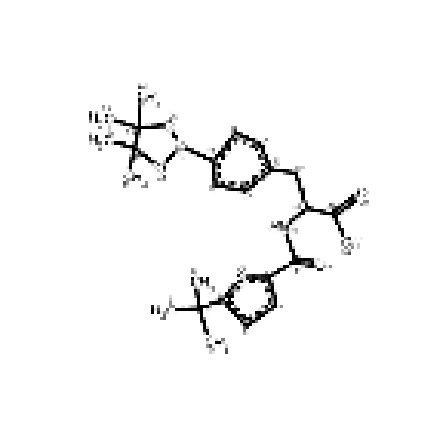 CC(C)(C)c1ccc(C(=O)NC(Cc2ccc(B3OC(C)(C)C(C)(C)O3)cc2)C(=O)O)s1